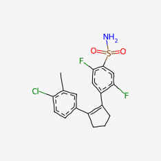 Cc1cc(C2=C(c3cc(F)c(S(N)(=O)=O)cc3F)CCC2)ccc1Cl